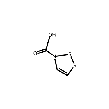 O=C(O)N1C=CSS1